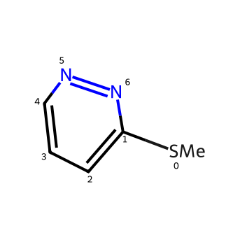 [CH2]Sc1cccnn1